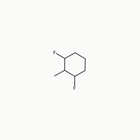 CC1C(F)CCCC1F